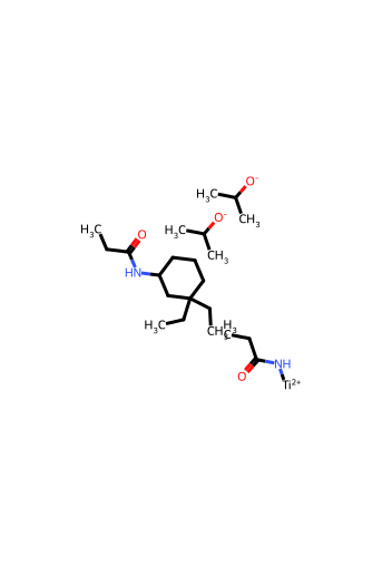 CC(C)[O-].CC(C)[O-].CCC(=O)NC1CCCC(CC)(CC)C1.CCC(=O)[NH][Ti+2]